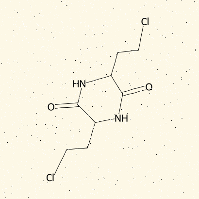 O=C1NC(CCCl)C(=O)NC1CCCl